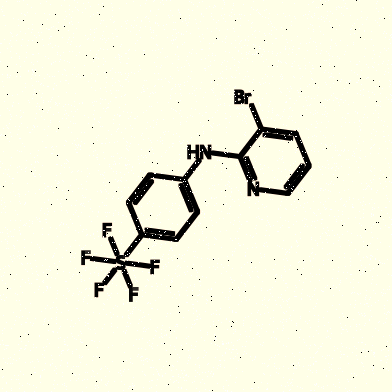 FS(F)(F)(F)(F)c1ccc(Nc2ncccc2Br)cc1